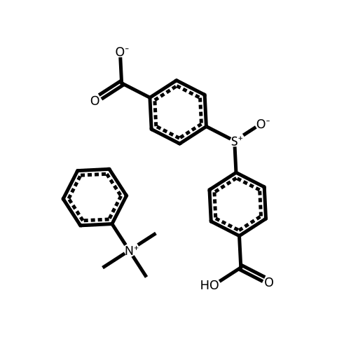 C[N+](C)(C)c1ccccc1.O=C([O-])c1ccc([S+]([O-])c2ccc(C(=O)O)cc2)cc1